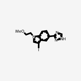 COCCn1cc(I)c2cc(-c3nc[nH]n3)ccc21